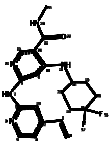 C=Cc1ccnc(Nc2cc(NC3CCC(F)(F)CC3)c(C(=O)NC)cn2)c1